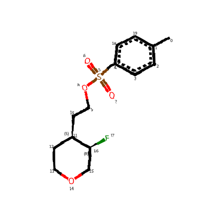 Cc1ccc(S(=O)(=O)OCC[C@@H]2CCOC[C@@H]2F)cc1